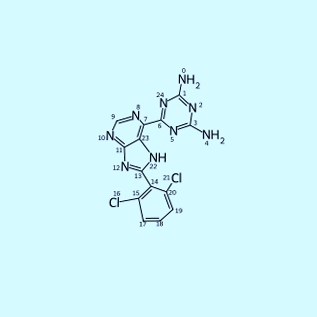 Nc1nc(N)nc(-c2ncnc3nc(-c4c(Cl)cccc4Cl)[nH]c23)n1